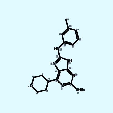 CC(=O)Nc1nc(N2CCOCC2)c2nc(Nc3cccc(C)c3)[nH]c2n1